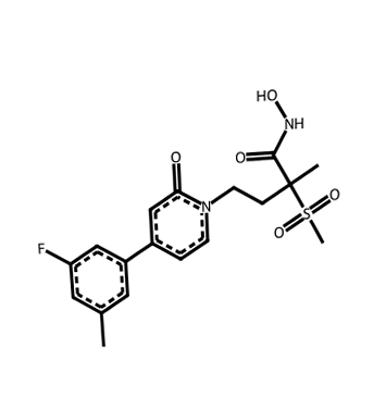 Cc1cc(F)cc(-c2ccn(CCC(C)(C(=O)NO)S(C)(=O)=O)c(=O)c2)c1